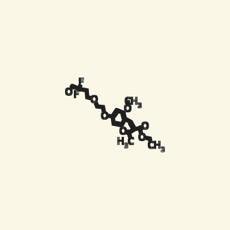 CCOC(=O)/C(=C/c1ccc(OCCOCCC(F)(F)C=O)cc1OC)C(C)=O